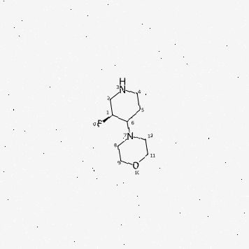 F[C@H]1CNCCC1N1CCOCC1